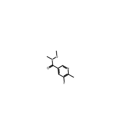 CON(C)C(=O)c1cnc(C)c(F)c1